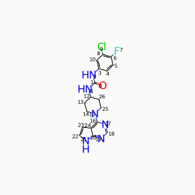 O=C(Nc1ccc(F)c(Cl)c1)NC1CCN(c2ncnc3[nH]ccc23)CC1